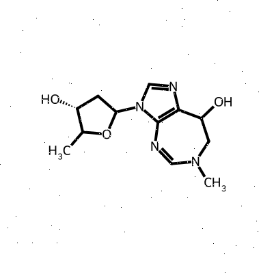 CC1OC(n2cnc3c2N=CN(C)CC3O)C[C@H]1O